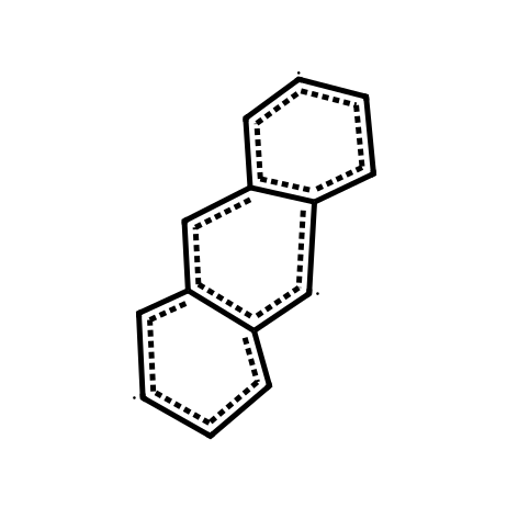 [c]1ccc2[c]c3cc[c]cc3cc2c1